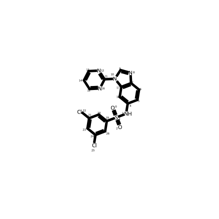 O=S(=O)(Nc1ccc2ncn(-c3ncccn3)c2c1)c1cc(Cl)cc(Cl)c1